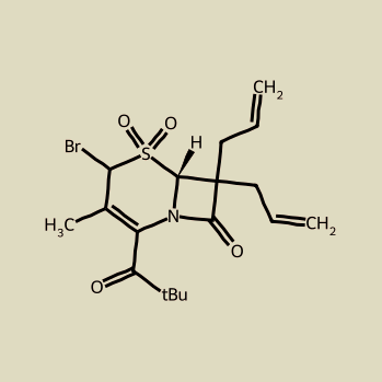 C=CCC1(CC=C)C(=O)N2C(C(=O)C(C)(C)C)=C(C)C(Br)S(=O)(=O)[C@@H]21